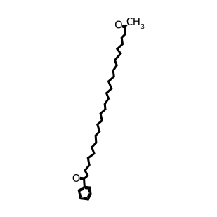 CC(=O)CCCCCCCCCCCCCCCCCCCCCCCCCCCC(=O)c1ccccc1